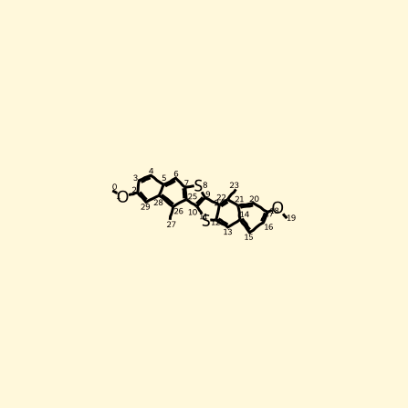 COc1ccc2cc3sc4c(sc5cc6ccc(OC)cc6c(C)c54)c3c(C)c2c1